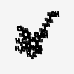 Cc1sc2c(c1C)C(c1ccc(Cl)cc1)=N[C@@H](CC(=O)NCCCCCCCO)c1nnc(C)n1-2